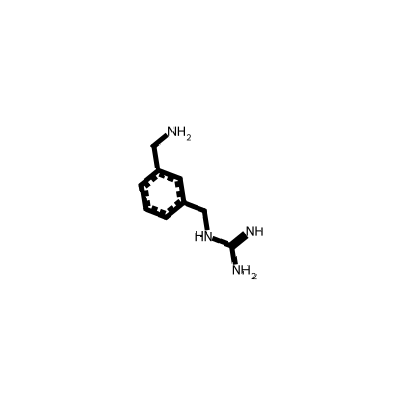 N=C(N)NCc1cccc(CN)c1